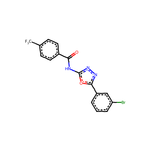 O=C(Nc1nnc(-c2cccc(Br)c2)o1)c1ccc(C(F)(F)F)cc1